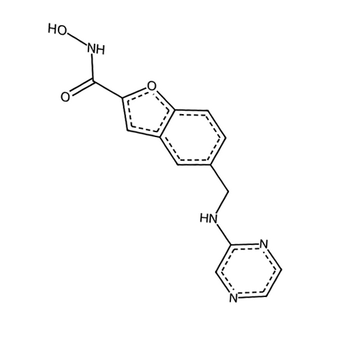 O=C(NO)c1cc2cc(CNc3cnccn3)ccc2o1